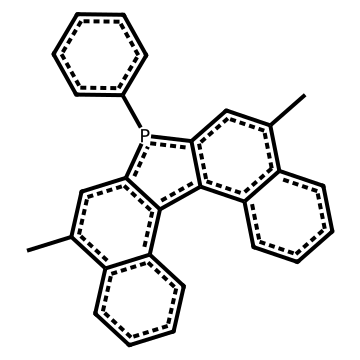 Cc1cc2c(c3ccccc13)c1c3ccccc3c(C)cc1p2-c1ccccc1